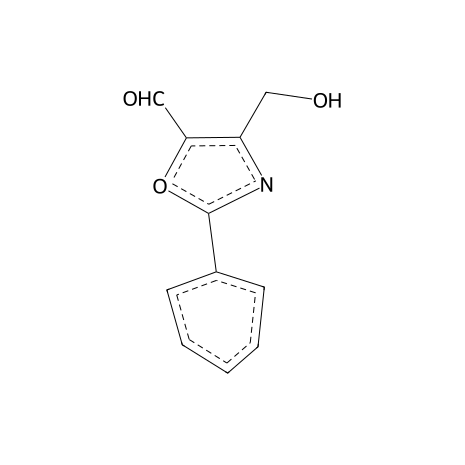 O=Cc1oc(-c2ccccc2)nc1CO